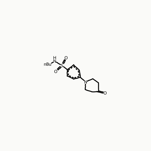 CCCCNS(=O)(=O)c1ccc(N2CCC(=O)CC2)cc1